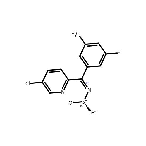 CC(C)[S@@+]([O-])/N=C(/c1cc(F)cc(C(F)(F)F)c1)c1ccc(Cl)cn1